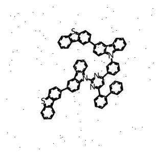 c1ccc(-c2ccccc2-c2cc(-c3cccc(-n4c5ccccc5c5cc(-c6ccc7sc8ccccc8c7c6)ccc54)c3)nc(-n3c4ccccc4c4cc(-c5ccc6sc7ccccc7c6c5)ccc43)n2)cc1